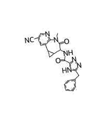 CN1C(=O)C(NC(=O)c2nnc(Cc3ccccc3)[nH]2)C2CC2c2cc(C#N)cnc21